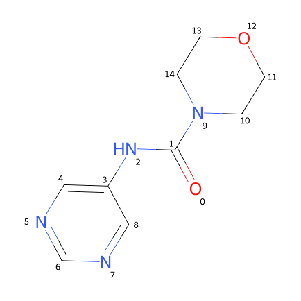 O=C(Nc1cncnc1)N1CCOCC1